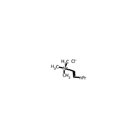 CCCC=C[N+](C)(C)C.[Cl-]